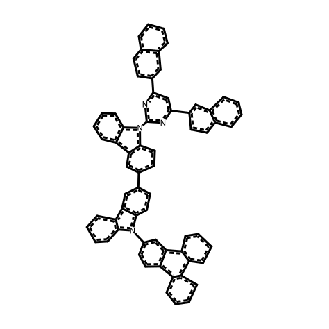 c1ccc2cc(-c3cc(-c4ccc5ccccc5c4)nc(-n4c5ccccc5c5cc(-c6ccc7c(c6)c6ccccc6n7-c6ccc7c8ccccc8c8ccccc8c7c6)ccc54)n3)ccc2c1